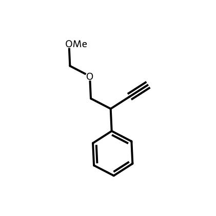 C#CC(COCOC)c1ccccc1